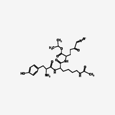 CC(=O)NCCCCC(NC(=O)C(N)Cc1ccc(O)cc1)C(=O)NC(CCC(=O)C=[N+]=[N-])C(=O)OC(C)C